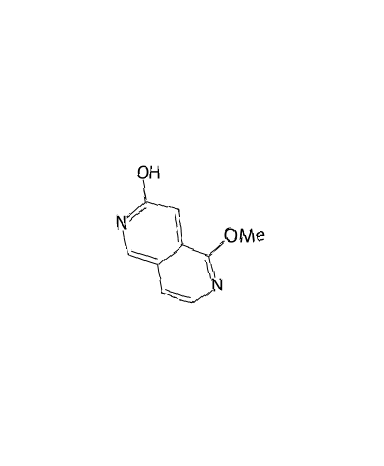 COc1nccc2cnc(O)cc12